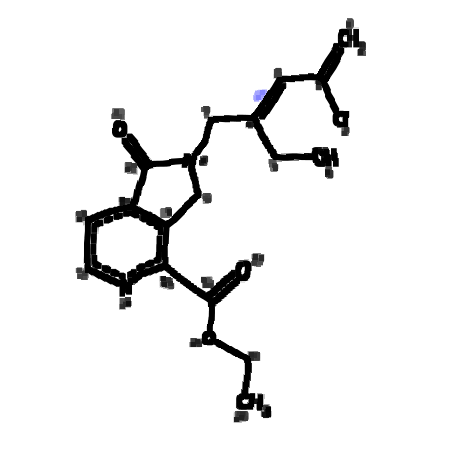 C=C(Cl)/C=C(\CO)CN1Cc2c(ccnc2C(=O)OCC)C1=O